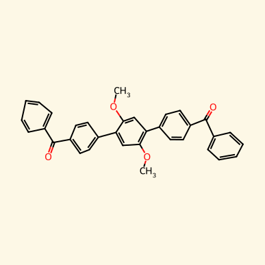 COc1cc(-c2ccc(C(=O)c3ccccc3)cc2)c(OC)cc1-c1ccc(C(=O)c2ccccc2)cc1